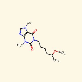 CCCn1cnc2c1c(=O)n(CCCCC(C)O[N+](=O)[O-])c(=O)n2C